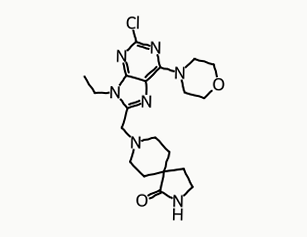 CCn1c(CN2CCC3(CCNC3=O)CC2)nc2c(N3CCOCC3)nc(Cl)nc21